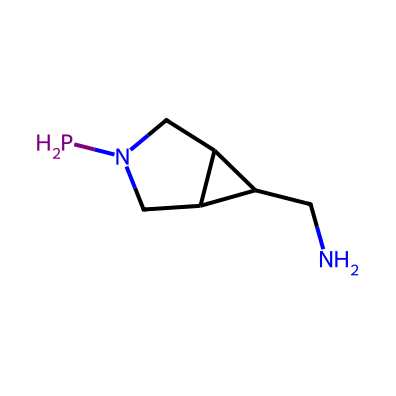 NCC1C2CN(P)CC12